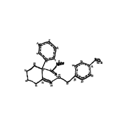 CNC(=S)C1(c2cccnc2)CCCC/C1=N/OCc1ccc([N+](=O)[O-])cc1